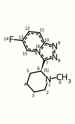 CN1CCCC[C@H]1c1nnc2ccc(F)cn12